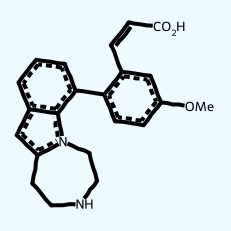 COc1ccc(-c2cccc3cc4n(c23)CCNCC4)c(/C=C\C(=O)O)c1